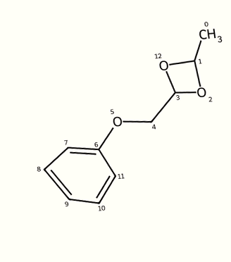 CC1OC(COc2ccccc2)O1